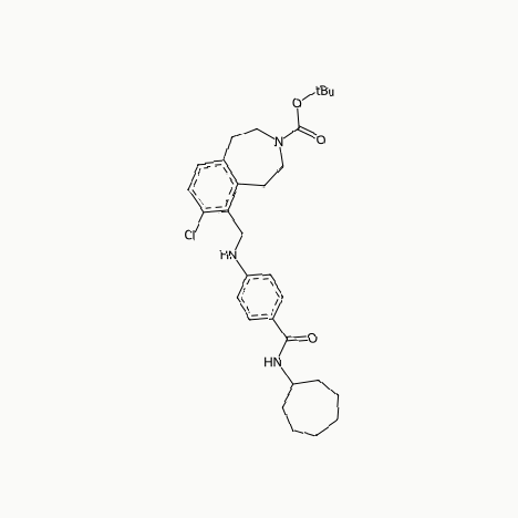 CC(C)(C)OC(=O)N1CCc2ccc(Cl)c(CNc3ccc(C(=O)NC4CCCCCC4)cc3)c2CC1